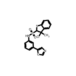 CC1(Cl)c2ccccc2SC1S(=O)(=O)Nc1cccc(-c2cnco2)c1